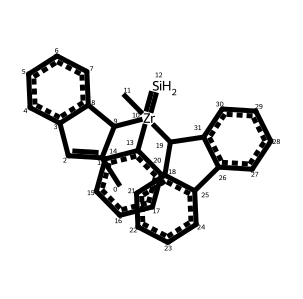 CC1=Cc2ccccc2[CH]1[Zr]([CH3])(=[SiH2])([c]1ccccc1)[CH]1c2ccccc2-c2ccccc21